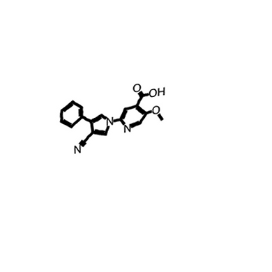 COc1cnc(-n2cc(C#N)c(-c3ccccc3)c2)cc1C(=O)O